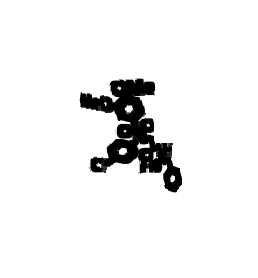 COc1ccc(S(=O)(=O)N(CC(=O)N[N+](O)=Cc2ccccc2)c2ccc(Cl)cc2)cc1OC